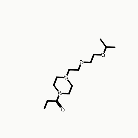 CCC(=O)N1CCN(CCOCCOC(C)C)CC1